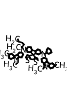 C=C/C=C\C(=C)N(c1ccc2c(c1)C1(c3cc(N(c4ccccc4)c4ccc5c(c4)c4cc(C)ccc4n5CC)ccc3-2)c2ccsc2-c2sccc21)c1ccc2c(c1)c1cc(C)ccc1n2CC